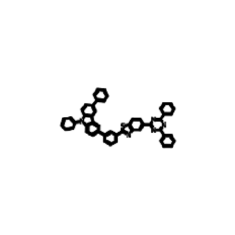 c1ccc(-c2ccc3c(c2)c2cc(-c4cccc(-c5nc6cc(-c7nc(-c8ccccc8)nc(-c8ccccc8)n7)ccc6s5)c4)ccc2n3-c2ccccc2)cc1